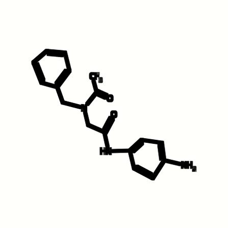 Nc1ccc(NC(=O)CN(Cc2ccccc2)C(=O)C(F)(F)F)cc1